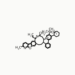 C=C/C1=N/C(=C)CC2C(CCc3cc4oc5nc(C)ccc5c4cc31)c1ccccc1-c1cc(C3CCCCC3)c([Si](C)(C)C)c[n+]12